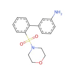 Nc1cccc(-c2ccccc2S(=O)(=O)N2CCOCC2)c1